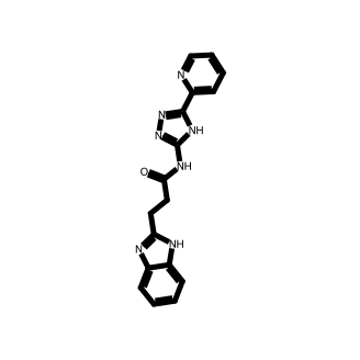 O=C(CCc1nc2ccccc2[nH]1)Nc1nnc(-c2ccccn2)[nH]1